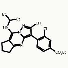 CCOC(=O)c1ccc(-c2c(C)nn3c(NC(CC)CC)c4c(nc23)CCC4)c(Cl)c1